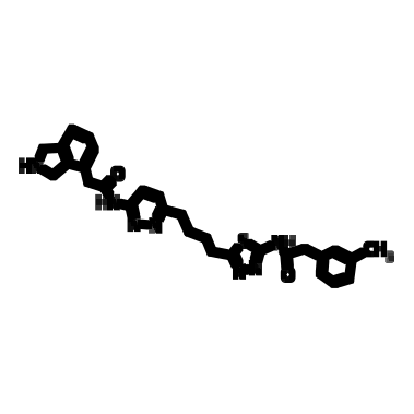 Cc1cccc(CC(=O)Nc2nnc(CCCCc3ccc(NC(=O)Cc4cccc5c4CNC5)nn3)s2)c1